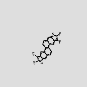 Fc1sc2cc3ccc4c5cc6c(F)c(F)sc6cc5ccc4c3cc2c1F